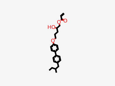 C=CC(=O)OCC(O)CCCOc1ccc(-c2ccc(CC(C)CC)cc2)cc1